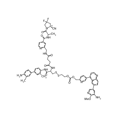 COc1ncc(-c2ccc3nccc(-c4ccc(COC(=O)OCCSSCC(NC(=O)CCC(=O)NCc5cc(C(=O)NC(C)C(=O)N6CC(F)(F)C[C@H]6C#N)ccn5)C(=O)Nc5ccc(-c6ccc(N)c(C)c6)cc5C)nc4)c3c2)cc1N